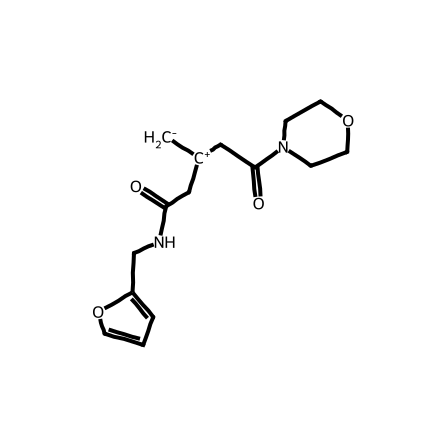 [CH2-][C+](CC(=O)NCc1ccco1)CC(=O)N1CCOCC1